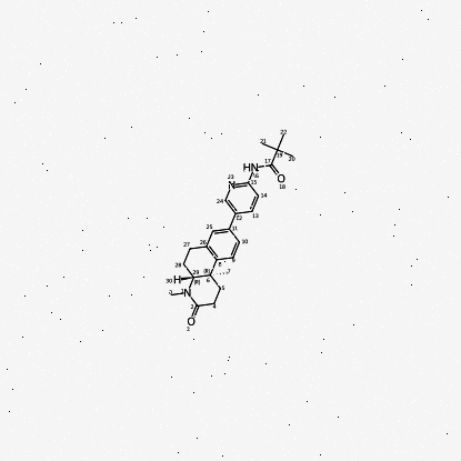 CN1C(=O)CC[C@]2(C)c3ccc(-c4ccc(NC(=O)C(C)(C)C)nc4)cc3CC[C@@H]12